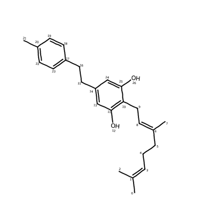 CC(C)=CCC/C(C)=C/Cc1c(O)cc(CCc2ccc(C)cc2)cc1O